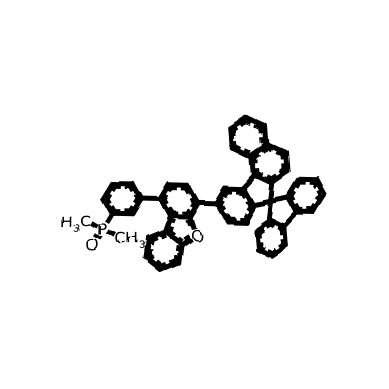 CP(C)(=O)c1cccc(-c2ccc(-c3ccc4c(c3)-c3c(ccc5ccccc35)C43c4ccccc4-c4ccccc43)c3oc4ccccc4c23)c1